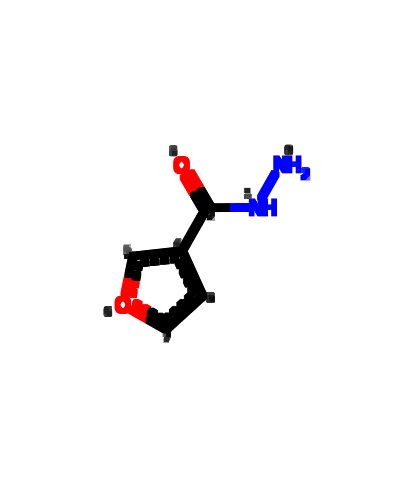 NNC(=O)c1[c]occ1